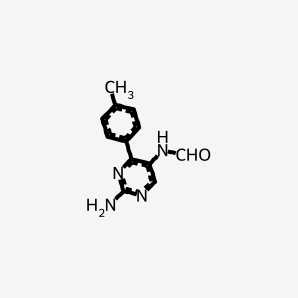 Cc1ccc(-c2nc(N)ncc2NC=O)cc1